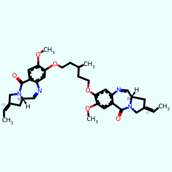 C/C=C1\C[C@H]2C=Nc3cc(OCCC(C)CCOc4cc5c(cc4OC)C(=O)N4C/C(=C/C)C[C@H]4C=N5)c(OC)cc3C(=O)N2C1